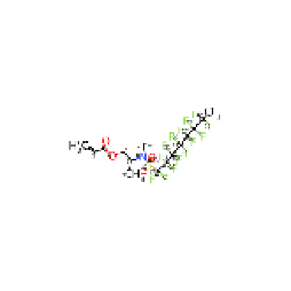 C=CC(=O)O[CH]C(C)N(CC)S(=O)(=O)C(F)(F)C(F)(F)C(F)(F)C(F)(F)C(F)(F)C(F)(F)C(F)(F)C(F)(F)F